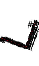 CO.CO.CO.CO.CO.CO.CO.CO.CO.CO.CO.CO.CO.CO.CO.[CH2].[CH2].[CH2].[CH2].[CH2].[CH2].[CH2].[CH2].[CH2].[CH2].[CH2].[CH2].[CH2].[CH2].[CH2].[CH2].[CH2].[CH2].[CH2].[CH2].[CH2].[CH2].[CH2].[CH2].[CH2].[CH2].[CH2].[CH2].[CH2].[CH2].[CH2].[CH2].[CH2].[CH2].[CH2].[CH2].[CH2].[CH2].[CH2].[CH2].[CH2].[CH2].[CH2].[CH2].[CH2].[CH2].[CH2].[CH2].[CH2].[CH2].[CH2].[CH2].[CH2].[CH2].[CH2].[CH2].[CH2].[CH2].[CH2].[CH2].[CH2].[CH2].[CH2].[CH2].[CH2].[CH2].[CH2].[CH2].[CH2].[CH2].[CH2].[CH2].[CH2].[CH2].[CH2].[CH2].[CH2].[CH2].[CH2].[CH2].[CH2].[CH2].[CH2].[CH2].[CH2]